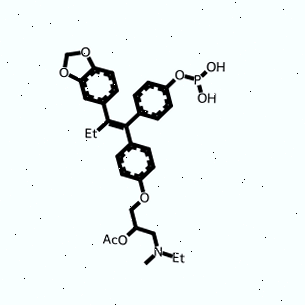 CCC(=C(c1ccc(OCC(CN(C)CC)OC(C)=O)cc1)c1ccc(OP(O)O)cc1)c1ccc2c(c1)OCO2